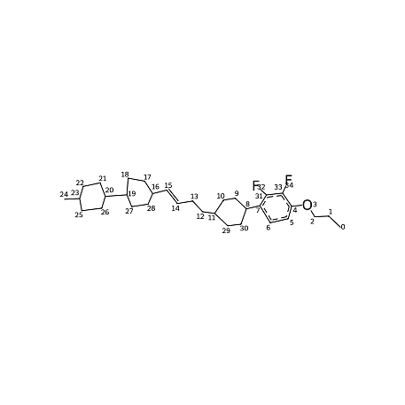 CCCOc1ccc(C2CCC(CC/C=C/C3CCC(C4CCC(C)CC4)CC3)CC2)c(F)c1F